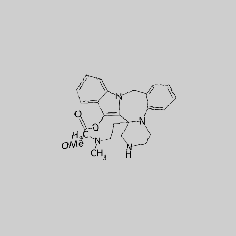 COC(=O)Oc1c2n(c3ccccc13)Cc1ccccc1N1CCNCC21CCN(C)C